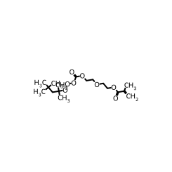 C=C(C)C(=O)OCCOCCOC(=O)OOOC(C)(C)CC(C)(C)C